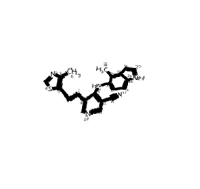 Cc1ncsc1C=Cc1cncc(C#N)c1Nc1ccc2[nH]ccc2c1C